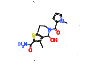 Cc1c(C(N)=O)sc2c1C(O)N(C(=O)c1cccn1C)CC2